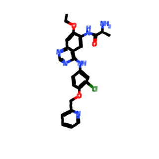 CCOc1cc2ncnc(Nc3ccc(OCc4ccccn4)c(Cl)c3)c2cc1NC(=O)[C@H](C)N